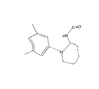 Cc1cc(C)cc(N2CCCCC2NC=O)c1